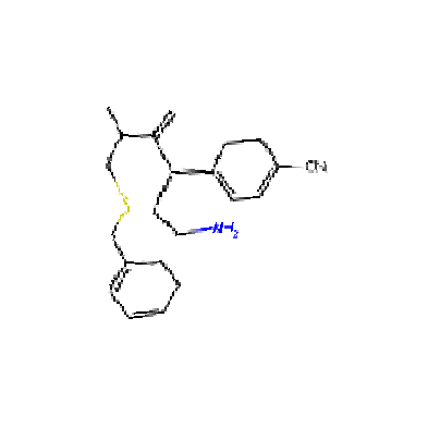 C=C(C(C)CSCC1=CC=CCC1)C(CCN)C1=CC=C(C#N)CC1